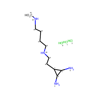 Cl.Cl.Cl.NC1C(N)C1CCNCCCCNC(=O)O